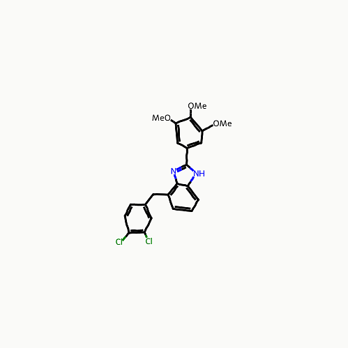 COc1cc(-c2nc3c(Cc4ccc(Cl)c(Cl)c4)cccc3[nH]2)cc(OC)c1OC